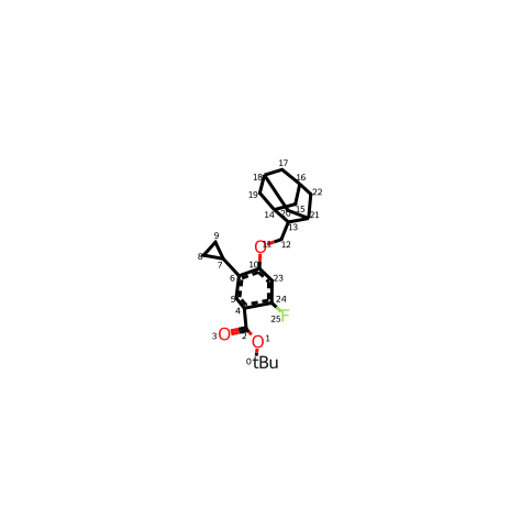 CC(C)(C)OC(=O)c1cc(C2CC2)c(OCC2C3CC4CC(C3)CC2C4)cc1F